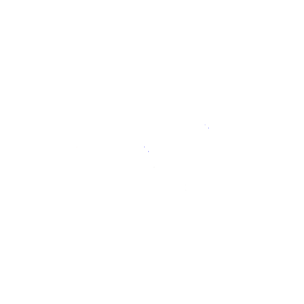 C=CC(=O)N(CCCN(C)C)Cc1ccccc1S(=O)(=O)O